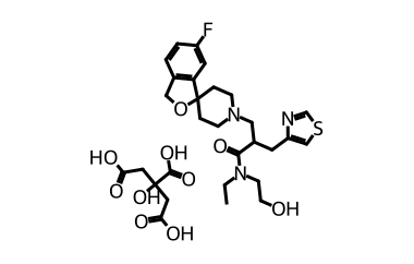 CCN(CCO)C(=O)C(Cc1cscn1)CN1CCC2(CC1)OCc1ccc(F)cc12.O=C(O)CC(O)(CC(=O)O)C(=O)O